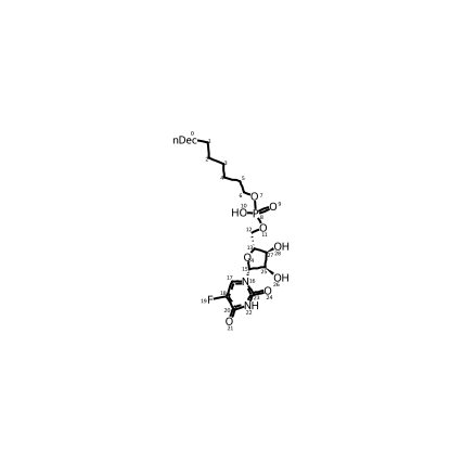 CCCCCCCCCCCCCCCCOP(=O)(O)OC[C@H]1O[C@@H](n2cc(F)c(=O)[nH]c2=O)[C@H](O)[C@@H]1O